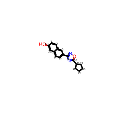 Oc1ccc2cc(-c3noc(C4CCCC4)n3)ccc2c1